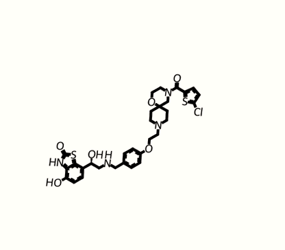 O=C(c1ccc(Cl)s1)N1CCOC2(CCN(CCOc3ccc(CNC[C@H](O)c4ccc(O)c5[nH]c(=O)sc45)cc3)CC2)C1